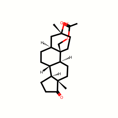 CC(=O)OC[C@]12CC[C@@](C)(O)C[C@@H]1CC[C@@H]1[C@@H]2CC[C@]2(C)C(=O)CC[C@@H]12